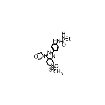 CCNC(=O)Nc1ccc(-c2nc3c(c(N4CCOCC4)n2)CCN(S(C)(=O)=O)C3)cc1